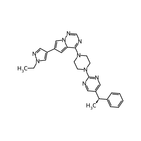 CCn1cc(-c2cc3c(N4CCN(c5ncc([C@H](C)c6ccccc6)cn5)CC4)ncnn3c2)cn1